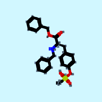 O=C(OCc1ccccc1)[C@H](Cc1ccc(OS(=O)(=O)C(F)(F)F)cc1)NCc1ccccc1